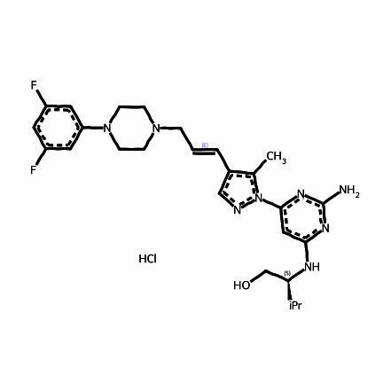 Cc1c(/C=C/CN2CCN(c3cc(F)cc(F)c3)CC2)cnn1-c1cc(N[C@H](CO)C(C)C)nc(N)n1.Cl